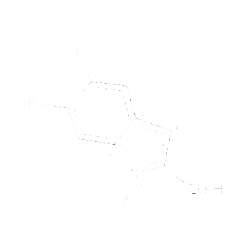 Cn1c(C(=O)O)cc2cc(F)c(F)cc21